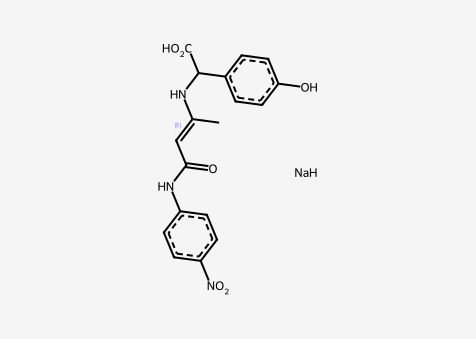 C/C(=C\C(=O)Nc1ccc([N+](=O)[O-])cc1)NC(C(=O)O)c1ccc(O)cc1.[NaH]